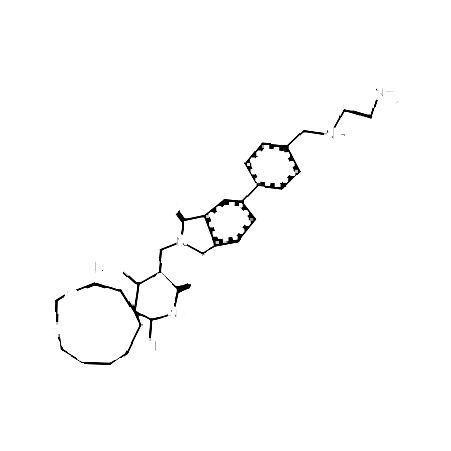 CC1NC(=O)C(CN2Cc3ccc(-c4ccc(CNCCN)cc4)cc3C2=O)C(C)C12CCCCCCCCCC2